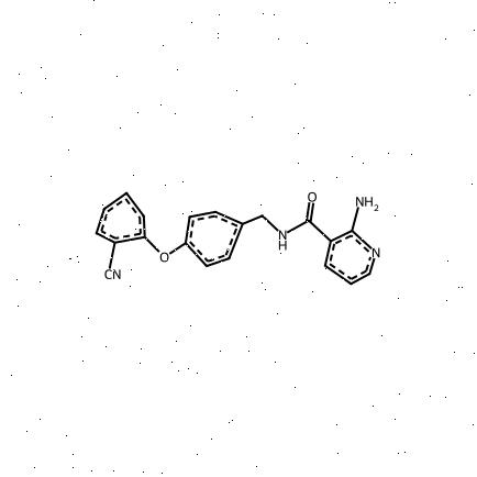 N#Cc1ccccc1Oc1ccc(CNC(=O)c2cccnc2N)cc1